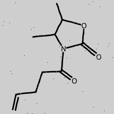 C=CCCC(=O)N1C(=O)OC(C)C1C